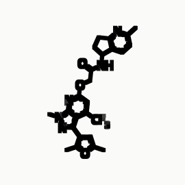 Cc1ccc2c(n1)CCC2NC(=O)COc1cc(C(F)(F)F)c2c(-c3cc(C)oc3C)nn(C)c2n1